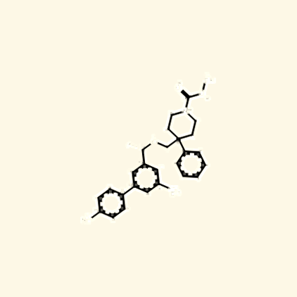 C[C@H](OCC1(c2ccccc2)CCN(C(=O)OC(C)(C)C)CC1)c1cc(-c2ccc(C#N)cc2)cc(C(F)(F)F)c1